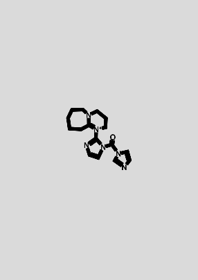 O=C(n1ccnc1)n1ccnc1[N+]1=C2CCCCCN2CCC1